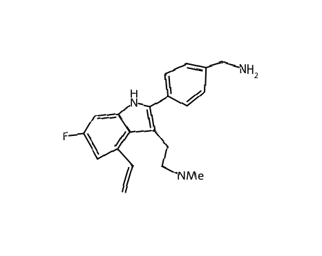 C=Cc1cc(F)cc2[nH]c(-c3ccc(CN)cc3)c(CCNC)c12